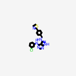 Clc1cccc(Nc2ncnc3[nH]nc(NCc4ccc(-c5nccs5)cc4)c23)c1